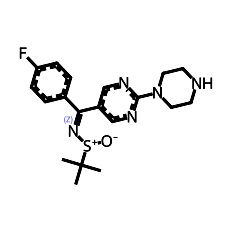 CC(C)(C)[S+]([O-])/N=C(/c1ccc(F)cc1)c1cnc(N2CCNCC2)nc1